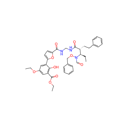 CCOC(=O)c1cc(OCC)cc(-c2ccc(C(=O)NCNC(=O)[C@H](CCc3ccccc3)[C@@H](CC)N(C=O)OCc3ccccc3)o2)c1O